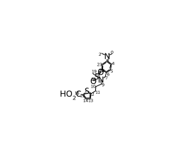 CN(C)c1ccc(CN(CCCc2ccc(C(=O)O)s2)S(C)(=O)=O)cc1